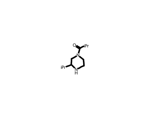 CC(C)C(=O)N1CCNC(C(C)C)C1